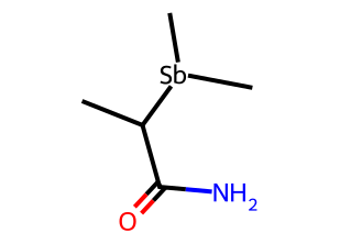 C[CH](C(N)=O)[Sb]([CH3])[CH3]